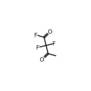 CC(=O)C(F)(F)C(=O)F